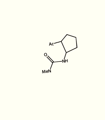 CNC(=O)NC1CCCC1C(C)=O